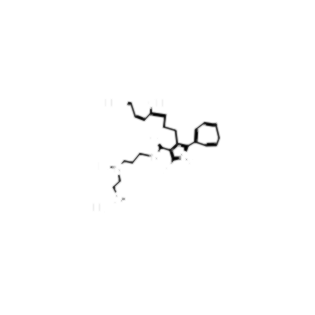 C=C/C=C\C(C)=C/CCc1c(C(=O)NCCCN(CC)CCN(C)C)c(C)n(C)c1C1=CC=C(F)CC=C1